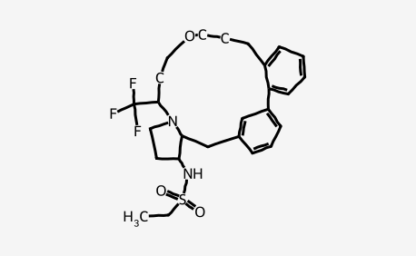 CCS(=O)(=O)NC1CCN2C1Cc1cccc(c1)-c1ccccc1CCCOCCC2C(F)(F)F